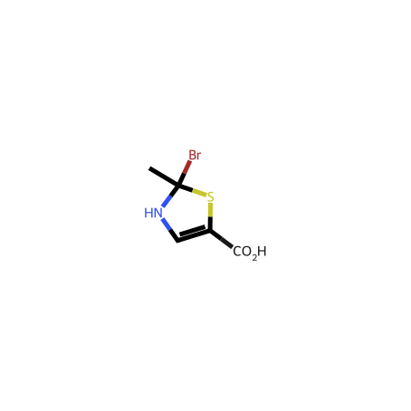 CC1(Br)NC=C(C(=O)O)S1